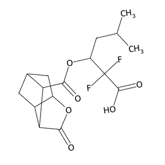 CC(C)CC(OC(=O)C1C2CC3OC(=O)C1C3C2)C(F)(F)C(=O)O